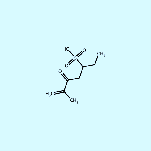 C=C(C)C(=O)CC(CC)S(=O)(=O)O